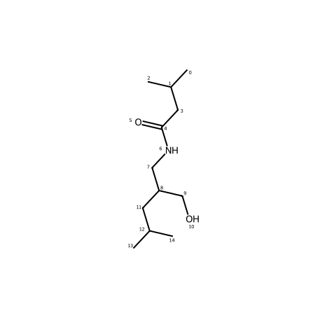 CC(C)CC(=O)NCC(CO)CC(C)C